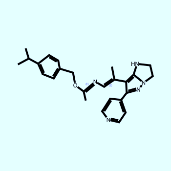 C/C(=C\N=C(/C)OCc1ccc(C(C)C)cc1)c1c(-c2ccncc2)nn2c1NCC2